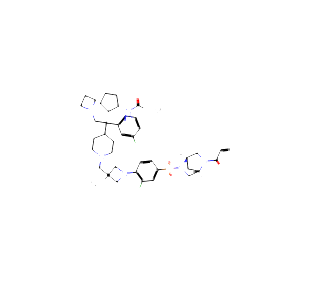 C=CC(=O)N1C[C@@H]2C[C@H]1CN2S(=O)(=O)c1ccc(N2CC(C#N)(CN3CCC(C(CN4CCC4)(c4cccc(F)c4)[C@H]4CCC[C@@H]4NC(=O)OC)CC3)C2)c(F)c1